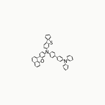 c1ccc(N(c2ccccc2)c2ccc(-c3ccc(N(c4ccc5c(c4)Oc4cccc6cccc-5c46)c4ccc5c(c4)sc4ccccc45)cc3)cc2)cc1